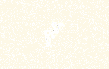 CC1COC2Cc3cc(C(F)(F)F)ccc3C2N1C(=O)c1cc2c(cc1F)nc(N)c1cncn12